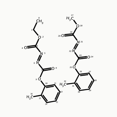 CCOC(=O)N=NC(=O)Oc1ccccc1C.COC(=O)N=NC(=O)Oc1ccccc1C